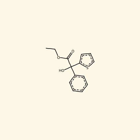 CCOC(=O)C(O)(c1ccccc1)c1cccs1